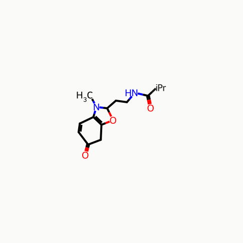 CC(C)C(=O)NCCC1OC2=C(C=CC(=O)C2)N1C